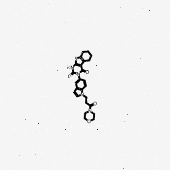 O=C(CCn1ccc2cc(-n3c(=O)[nH]c4sc5c(c4c3=O)CCCC5)ccc21)N1CCOCC1